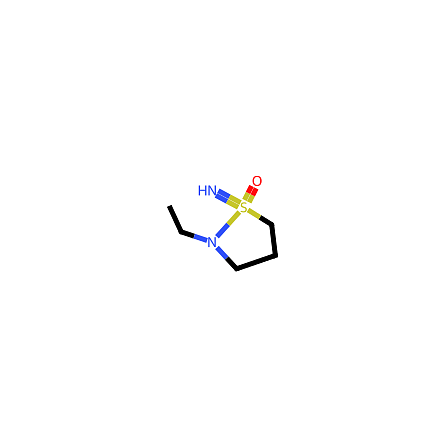 CCN1CCCS1(=N)=O